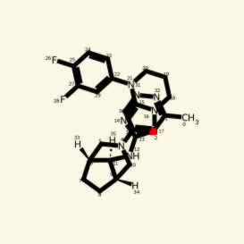 Cc1cc(N2C[C@H]3CC[C@@H](C2)[C@@H]3Nc2nc3n(n2)CCCN3c2ccc(F)c(F)c2)cnn1